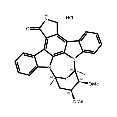 CN[C@H]1C[C@@H]2O[C@](C)([C@H]1OC)n1c3ccccc3c3c4c(c5c6ccccc6n2c5c31)C(=O)NC4.Cl